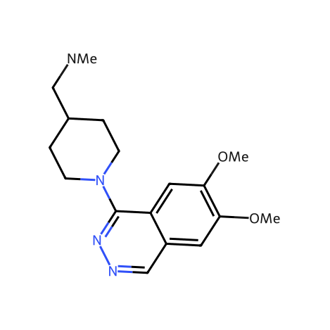 CNCC1CCN(c2nncc3cc(OC)c(OC)cc23)CC1